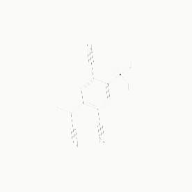 CC(C#N)c1cc(C#N)c(C(F)(F)F)cc1C#N